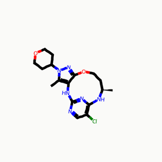 Cc1c2c(nn1C1CCOCC1)OCC[C@@H](C)Nc1nc(ncc1Cl)N2